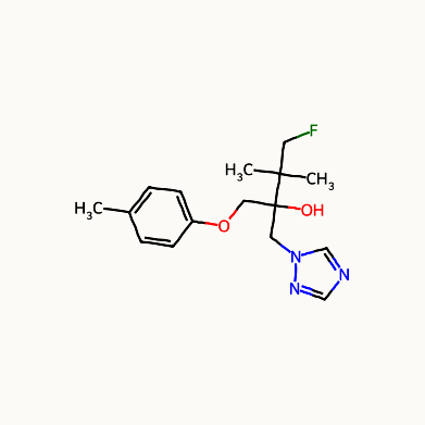 Cc1ccc(OCC(O)(Cn2cncn2)C(C)(C)CF)cc1